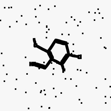 COc1ccc(Cl)c(F)c1C=N